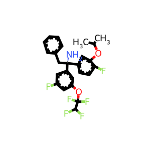 CC(C)Oc1cc([C@](N)(Cc2ccccc2)c2cc(F)cc(OC(F)(F)C(F)F)c2)ccc1F